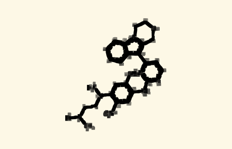 CCN(C)CCN(C)c1cc(OC)c(Nc2nccc(-c3c4n(c5ccccc35)CCOC4)n2)cc1[N+](=O)[O-]